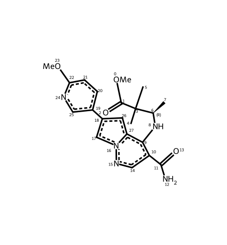 COC(=O)C(C)(C)[C@@H](C)Nc1c(C(N)=O)cnn2cc(-c3ccc(OC)nc3)cc12